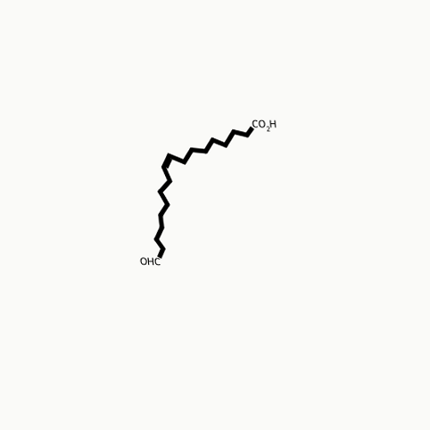 O=CCCCCCCC/C=C\CCCCCCCC(=O)O